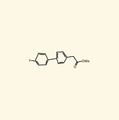 COC(=O)Cc1ccc(-c2ccc(F)cc2)cc1